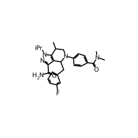 CC1CN(c2ccc(C(=O)N(C)C)cc2)C(Cc2cccc(F)c2)c2c(C(N)=O)nn(C(C)C)c21